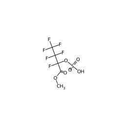 COC(=O)C(F)(OS(=O)(=O)O)C(F)(F)C(F)(F)F